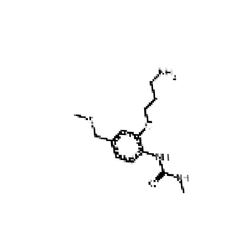 CNC(=O)Nc1ccc(CSC)cc1OCCCN